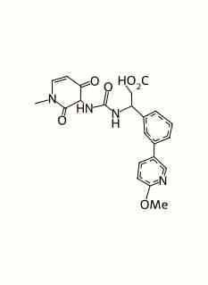 COc1ccc(-c2cccc(C(CC(=O)O)NC(=O)NC3C(=O)C=CN(C)C3=O)c2)cn1